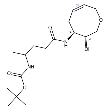 CC(CCC(=O)N[C@H]1C/C=C\COC[C@H]1O)NC(=O)OC(C)(C)C